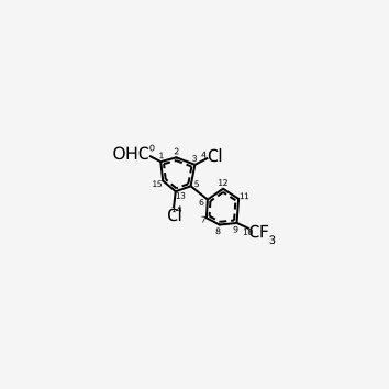 O=Cc1cc(Cl)c(-c2ccc(C(F)(F)F)cc2)c(Cl)c1